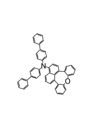 c1ccc(-c2ccc(N(c3ccc(-c4ccccc4)cc3)c3ccc4c5c(cccc35)-c3ccccc3Oc3ccccc3-4)cc2)cc1